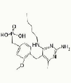 CCCCCNc1nc(N)nc(C)c1Cc1ccc(CP(=O)(O)O)cc1OC